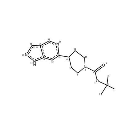 CC(C)(C)OC(=O)N1CCC(c2cc3[nH]ncc3cn2)CC1